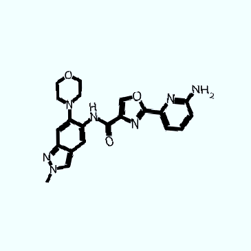 Cn1cc2cc(NC(=O)c3coc(-c4cccc(N)n4)n3)c(N3CCOCC3)cc2n1